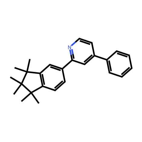 CC1(C)c2ccc(-c3cc(-c4ccccc4)ccn3)cc2C(C)(C)C1(C)C